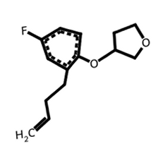 C=CCCc1cc(F)ccc1OC1CCOC1